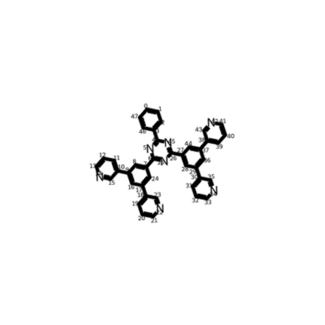 c1ccc(-c2nc(-c3cc(-c4cccnc4)cc(-c4cccnc4)c3)nc(-c3cc(-c4cccnc4)cc(-c4cccnc4)c3)n2)cc1